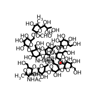 CC(=O)NC1C(O)[C@H](O[C@@H]2OC(CO[C@]3(OC=O)CC(O)[C@@H](C)C([C@@H](O)C(O)CO)O3)[C@H](O)[C@H](O)C2O)C(CO)O[C@H]1OC1[C@@H](OCC2O[C@@H](O[C@@H]3C(CO)O[C@@H](O[C@@H]4C(CO)O[C@@H](C)C(NC(C)=O)[C@H]4O)C(NC(C)=O)[C@H]3O)C(O)[C@@H](O[C@H]3O[C@H](CO)C(O)C(O)C3O[C@@H]3OC(CO)[C@@H](O[C@@H]4OC(CO)[C@H](O)[C@H](O)C4O)[C@H](O)C3NC(C)=O)[C@@H]2O)OC(CO)[C@@H](O)[C@@H]1O